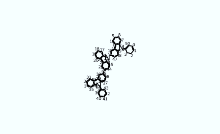 C1=CCCC(n2c3ccccc3c3cc(-n4c5ccccc5c5cc(-c6ccc7c(c6)c6ccccc6n7-c6ccccc6)ccc54)ccc32)=C1